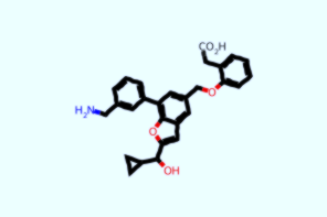 NCc1cccc(-c2cc(COc3ccccc3CC(=O)O)cc3cc(C(O)C4CC4)oc23)c1